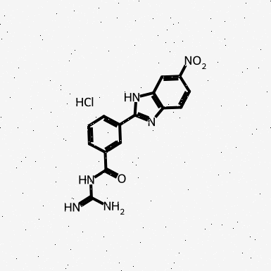 Cl.N=C(N)NC(=O)c1cccc(-c2nc3ccc([N+](=O)[O-])cc3[nH]2)c1